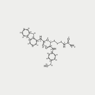 NC(=O)NCCCC(OC(=O)Nc1cccc2c1Cc1ccccc1-2)C(=O)Nc1ccc(CO)cc1